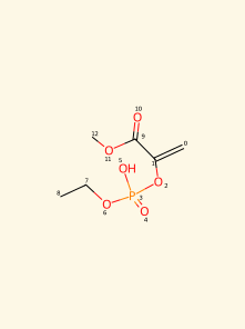 C=C(OP(=O)(O)OCC)C(=O)OC